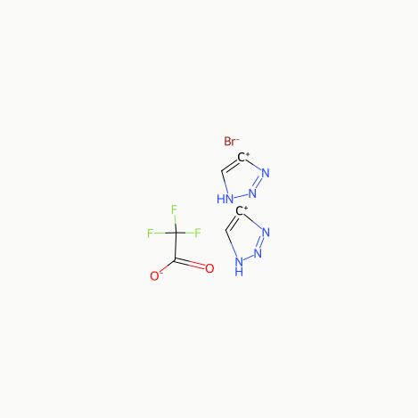 O=C([O-])C(F)(F)F.[Br-].[C+]1=CNN=N1.[C+]1=CNN=N1